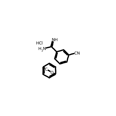 Cl.N#Cc1cccc(C(=N)N)c1.c1cc2ccc1CO2